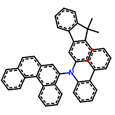 CC1(C)c2ccccc2-c2cc(N(c3ccccc3-c3ccccc3)c3cc4ccc5ccccc5c4c4ccccc34)ccc21